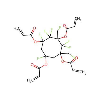 C=CC(=O)OC1(F)CC(F)(OC(=O)C=C)C(F)(F)C(CF)(OC(=O)C=C)C(F)(F)C(CF)(OC(=O)C=C)C1